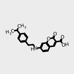 CC(C)c1ccc(CCNc2ccc3cc(C(=O)O)c(=O)oc3c2)cc1